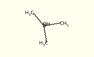 CCCCCCCCCCCCC[Si](O)(CCCCCCCCCCCCC)CCCCCCCCCCCCC